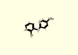 CC(C)(C)c1ccc(Oc2cccnc2Br)nc1